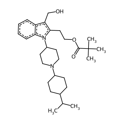 CC(C)C1CCC(N2CCC(n3c(CCOC(=O)C(C)(C)C)c(CO)c4ccccc43)CC2)CC1